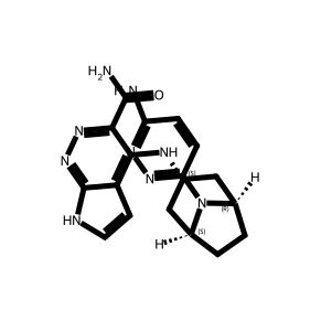 NC(=O)c1nnc2[nH]ccc2c1N[C@@H]1C[C@H]2CC[C@@H](C1)N2c1ccc(N)nn1